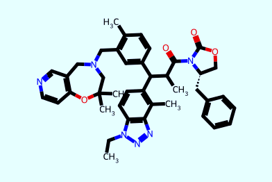 CCn1nnc2c(C)c(C(c3ccc(C)c(CN4Cc5cnccc5OC(C)(C)C4)c3)C(C)C(=O)N3C(=O)OC[C@@H]3Cc3ccccc3)ccc21